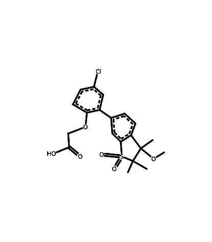 COC1(C)c2ccc(-c3cc(Cl)ccc3OCC(=O)O)cc2S(=O)(=O)C1(C)C